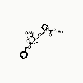 COC(=O)[C@H](COC[C@H]1CCCN1C(=O)OC(C)(C)C)NC(=O)OCc1ccccc1